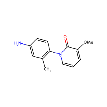 COc1cccn(-c2ccc(N)cc2C)c1=O